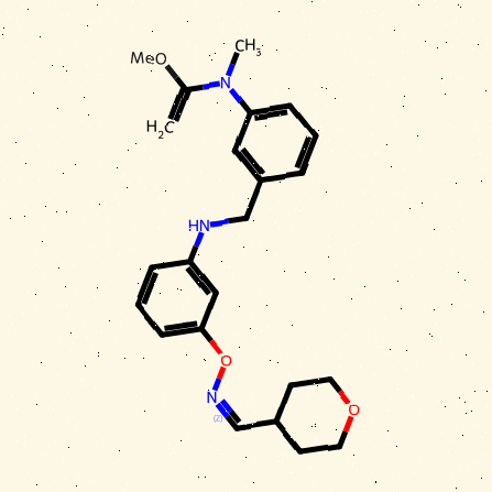 C=C(OC)N(C)c1cccc(CNc2cccc(O/N=C\C3CCOCC3)c2)c1